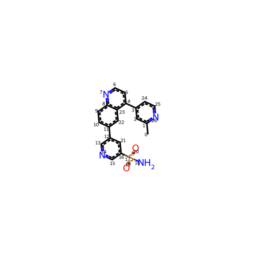 Cc1cc(-c2ccnc3ccc(-c4cncc(S(N)(=O)=O)c4)cc23)ccn1